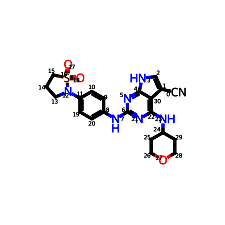 N#Cc1c[nH]c2nc(Nc3ccc(N4CCCS4(=O)=O)cc3)nc(NC3CCOCC3)c12